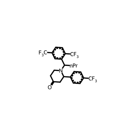 CCCC(c1cc(C(F)(F)F)ccc1C(F)(F)F)N1CCC(=O)CC1c1ccc(C(F)(F)F)cc1